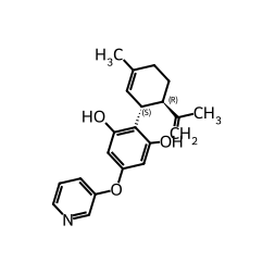 C=C(C)[C@@H]1CCC(C)=C[C@H]1c1c(O)cc(Oc2cccnc2)cc1O